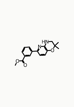 COC(=O)c1cccc(-c2ccc3c(n2)NCC(C)(C)O3)c1